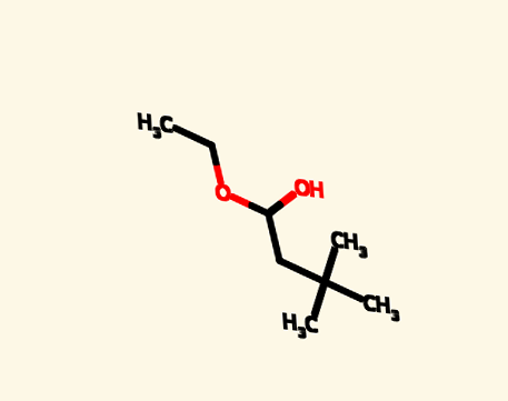 CCOC(O)CC(C)(C)C